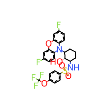 O=S(=O)(N[C@@H]1CCCC(N2c3ccc(F)cc3Oc3cc(F)ccc32)[C@H]1O)c1ccc(OC(F)(F)F)cc1